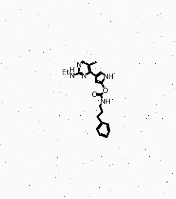 CCNc1ncc(C)c(-c2c[nH]c(OC(=O)NCCCc3ccccc3)c2)n1